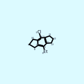 CCc1c2c(c(Cl)c3c1CCC3)CCC2